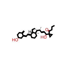 C=C1CC[C@H](O)C/C1=C/C=C1\CCC[C@]2(C)[C@@H]([C@H](C)/C=C/[C@H](O)C3(C(=O)CCC)CC3)CC[C@@H]12